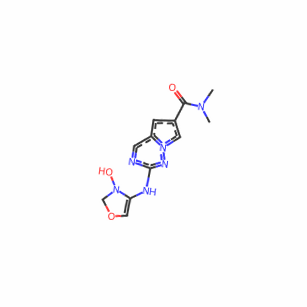 CN(C)C(=O)c1cc2cnc(NC3=COCN3O)nn2c1